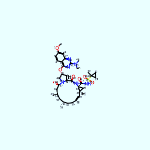 COc1ccc2c(O[C@@H]3C[C@H]4C(=O)N[C@]5(C(=O)NS(=O)(=O)C6(C)CC6)C[C@H]5/C=C\CC[C@H](C)C[C@@H](C)CC(=O)N4C3)nc(N(C)C)nc2c1